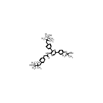 CC(C)(Cc1ccc(CC(=O)Nc2ncc(-c3ccc(O[Si](C)(C)C(C)(C)C)cc3)nc2-c2ccc(CC(C)(C)[Si](C)(C)O)cc2)cc1)[Si](C)(C)O